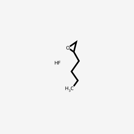 CCCCC1CO1.F